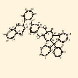 c1ccc(C2(c3ccccc3)c3ccccc3-c3cc4c(cc32)Oc2ccc(-c3ccccc3-c3cnc5ccccc5n3)cc2O4)cc1